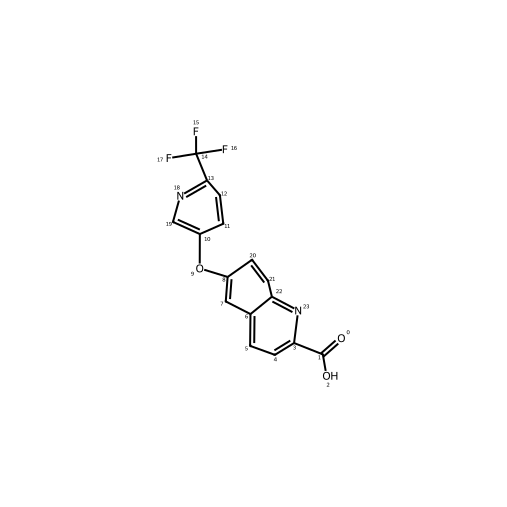 O=C(O)c1ccc2cc(Oc3ccc(C(F)(F)F)nc3)ccc2n1